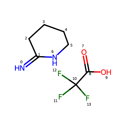 N=C1CCCCN1.O=C(O)C(F)(F)F